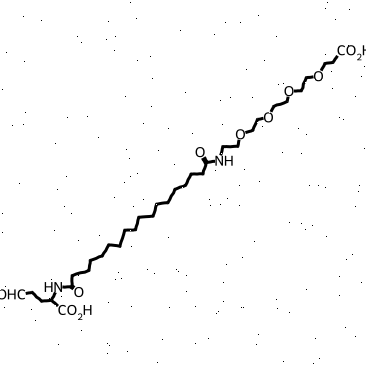 O=[C]CCC(NC(=O)CCCCCCCCCCCCCCCCC(=O)NCCOCCOCCOCCOCCC(=O)O)C(=O)O